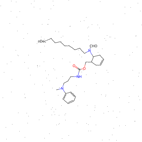 CCCCCCCCCCCCCCCCCCN(C=O)C1CC=CCC1COC(=O)NCCCN(C)c1ccccc1